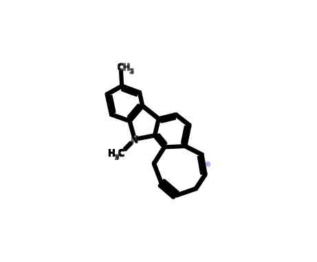 Cc1ccc2c(c1)c1ccc3c(c1n2C)CC#CC/C=C\3